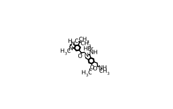 Br.CCOc1cc2c(cc1CC(=O)NC)C(=N)N(CC(=O)c1cc(C(C)(C)C)c3ncn(C)c3c1)C2